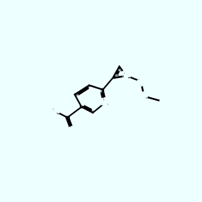 CSSN1C=C1c1ccc(C(N)=O)cn1